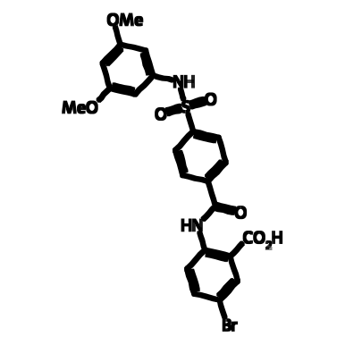 COc1cc(NS(=O)(=O)c2ccc(C(=O)Nc3ccc(Br)cc3C(=O)O)cc2)cc(OC)c1